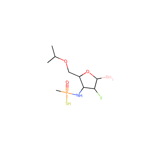 BC1OC(COC(C)C)C(NP(C)(=O)S)C1F